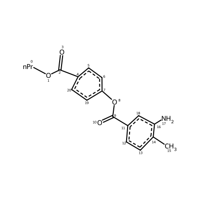 CCCOC(=O)c1ccc(OC(=O)c2ccc(C)c(N)c2)cc1